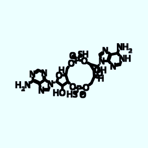 Nc1ncnc2c1ncn2[C@@H]1O[C@@H]2COP(=O)(S)OC3C(O)[C@@H](COP(=O)(S)OC2C1O)O[C@H]3n1cnc2c1N=CNC2N